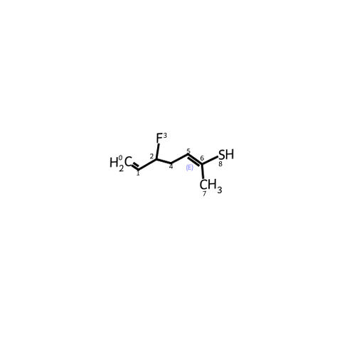 C=CC(F)C/C=C(\C)S